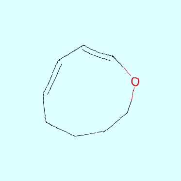 C1=CCCCCOC=C1